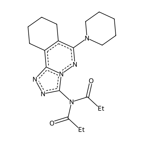 CCC(=O)N(C(=O)CC)c1nnc2c3c(c(N4CCCCC4)nn12)CCCC3